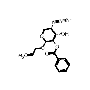 C=CCO[C@H]1OC[C@H](N=[N+]=[N-])[C@H](O)[C@@H]1OC(=O)c1ccccc1